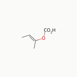 CC=C(C)OC(=O)O